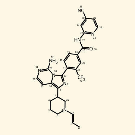 CC=CN1CCCC(c2nc(-c3ccc(C(=O)Nc4cc(C#N)ccn4)cc3C(F)(F)F)n3c(N)nccc23)C1